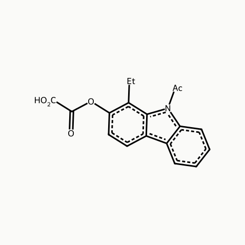 CCc1c(OC(=O)C(=O)O)ccc2c3ccccc3n(C(C)=O)c12